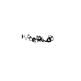 CCOc1csc(-c2cc(NCCc3ccc4c(c3)OCO4)ncn2)c1